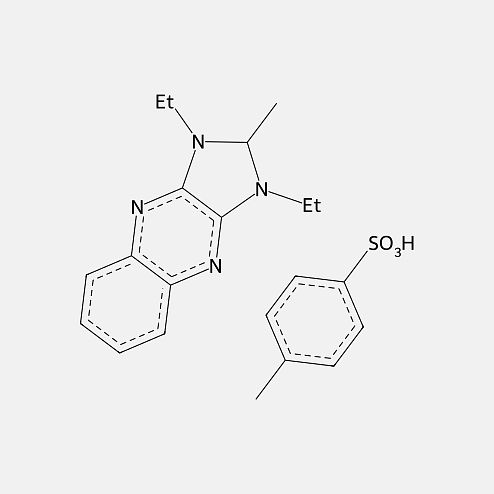 CCN1c2nc3ccccc3nc2N(CC)C1C.Cc1ccc(S(=O)(=O)O)cc1